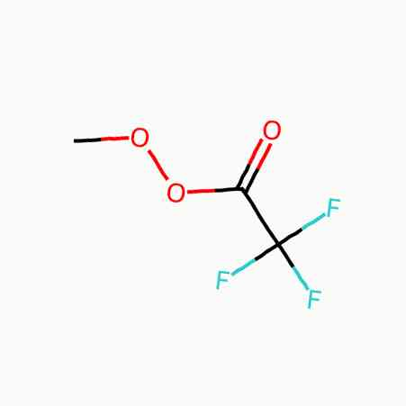 COOC(=O)C(F)(F)F